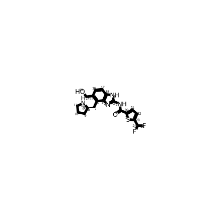 O=C(Nc1nc2c(C[C@H]3CCCN3)c(CO)ccc2[nH]1)c1ccc(C(F)F)s1